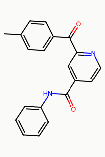 Cc1ccc(C(=O)c2cc(C(=O)Nc3ccccc3)ccn2)cc1